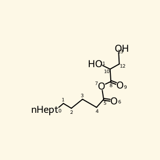 CCCCCCCCCCCC(=O)OC(=O)C(O)CO